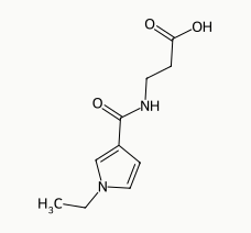 CCn1ccc(C(=O)NCCC(=O)O)c1